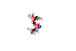 COCOc1ccc(OC)cc1C(=O)c1ccc(C(=O)OOC(=O)N2CCCCC(NC(=O)c3cc(C)c(OCOC)c(C)c3)C2)cc1